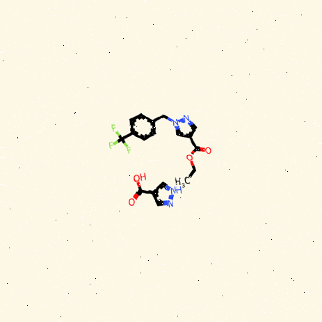 CCOC(=O)c1cnn(Cc2ccc(C(F)(F)F)cc2)c1.O=C(O)c1cn[nH]c1